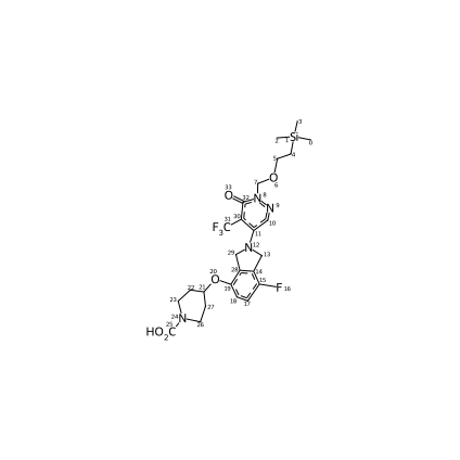 C[Si](C)(C)CCOCn1ncc(N2Cc3c(F)ccc(OC4CCN(C(=O)O)CC4)c3C2)c(C(F)(F)F)c1=O